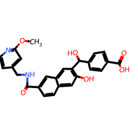 COc1cc(CNC(=O)c2ccc3cc(O)c(C(O)c4ccc(C(=O)O)cc4)cc3c2)ccn1